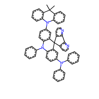 CC1(C)c2ccccc2N(c2ccc3c(c2)C2(c4cc(N(c5ccccc5)c5ccccc5)ccc4N3c3ccccc3)c3cccnc3-c3ncccc32)c2ccccc21